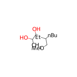 CC(O)CO.CCCCC(CC)COC